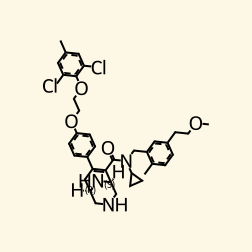 COCCc1ccc(C)c(CN(C(=O)C2=C(c3ccc(OCCOc4c(Cl)cc(C)cc4Cl)cc3)C[C@@H]3CNC[C@H]2N3)C2CC2)c1